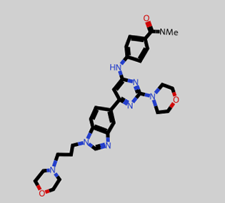 CNC(=O)c1ccc(Nc2cc(-c3ccc4c(c3)ncn4CCCN3CCOCC3)nc(N3CCOCC3)n2)cc1